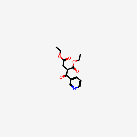 CCOC(=O)CC(C(=O)OCC)C(=O)c1cccnc1